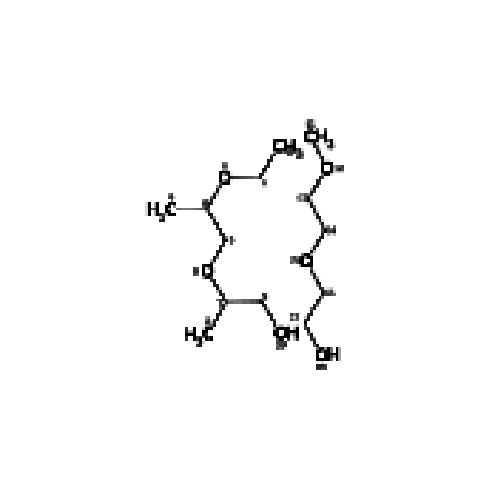 CCOC(C)COC(C)CO.COCCOCCO